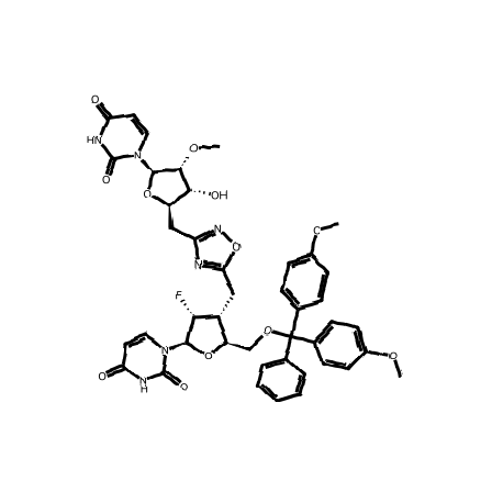 COc1ccc(C(OC[C@H]2O[C@@H](n3ccc(=O)[nH]c3=O)[C@H](F)[C@@H]2Cc2nc(C[C@H]3O[C@@H](n4ccc(=O)[nH]c4=O)[C@H](OC)[C@@H]3O)no2)(c2ccccc2)c2ccc(OC)cc2)cc1